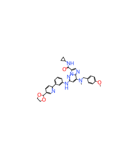 COc1ccc(CN(C)c2cc(Nc3cccc(-c4ccc(C5OCCO5)cn4)c3)nn3c(C(=O)NC4CC4)cnc23)cc1